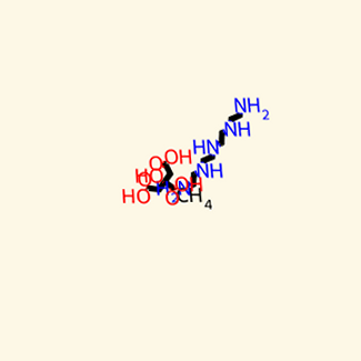 C.NCCNCCNCCNCCN.O=C(O)CC(O)(CC(=O)O)C(=O)O